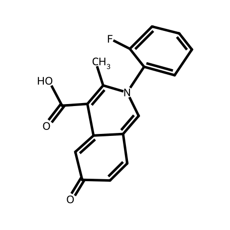 Cc1c(C(=O)O)c2cc(=O)ccc-2cn1-c1ccccc1F